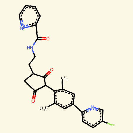 Cc1cc(-c2ccc(F)cn2)cc(C)c1C1C(=O)CC(CCNC(=O)c2ccccn2)C1=O